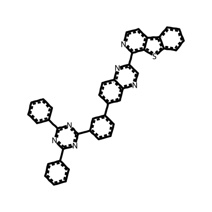 c1ccc(-c2nc(-c3ccccc3)nc(-c3cccc(-c4ccc5nc(-c6nccc7c6sc6ccccc67)cnc5c4)c3)n2)cc1